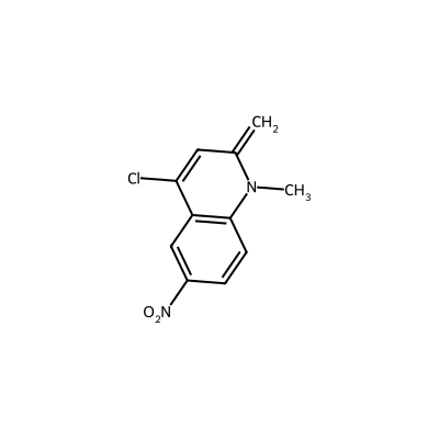 C=C1C=C(Cl)c2cc([N+](=O)[O-])ccc2N1C